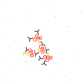 CC(C)COP(=O)(OCC(C)C)SCC(C)OP(=O)(OC(C)CSP(=O)(OCC(C)C)OCC(C)C)SCC(C)OP(=O)(S)OC(C)C